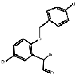 O=CC(Br)c1cc(Br)ccc1OCc1ccc(Cl)cc1